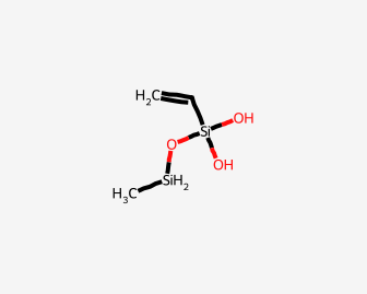 C=C[Si](O)(O)O[SiH2]C